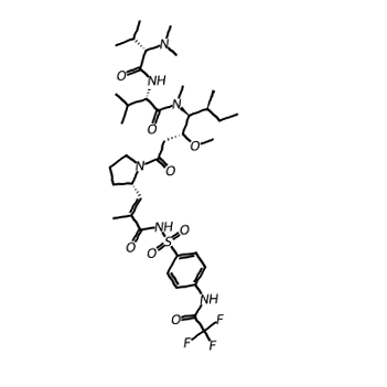 CC[C@H](C)[C@@H]([C@@H](CC(=O)N1CCC[C@H]1C=C(C)C(=O)NS(=O)(=O)c1ccc(NC(=O)C(F)(F)F)cc1)OC)N(C)C(=O)[C@@H](NC(=O)[C@H](C(C)C)N(C)C)C(C)C